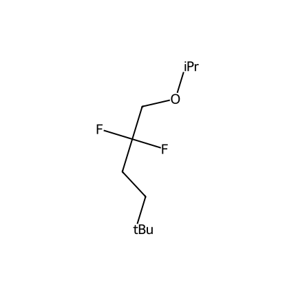 CC(C)OCC(F)(F)CCC(C)(C)C